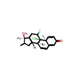 CC(=O)[C@@]1(O)C(C)C[C@H]2[C@@H]3C=CC4=CC(=O)C=C[C@]4(C)[C@@]3(Cl)C(F)C[C@@]21C